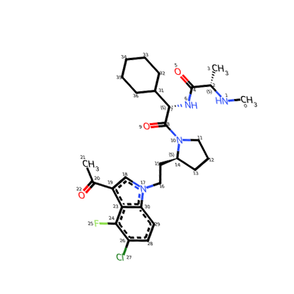 CN[C@@H](C)C(=O)N[C@H](C(=O)N1CCC[C@H]1CCn1cc(C(C)=O)c2c(F)c(Cl)ccc21)C1CCCCC1